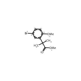 COC(=O)C(C)(C)c1cc(Br)ccc1OC